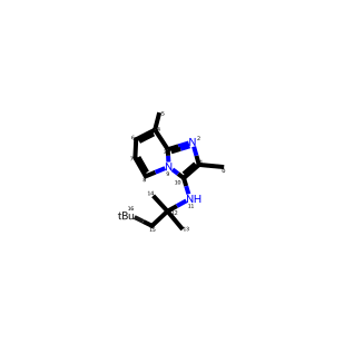 Cc1nc2c(C)cccn2c1NC(C)(C)CC(C)(C)C